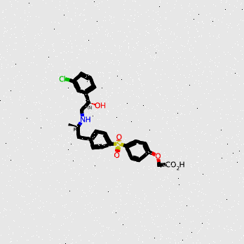 C[C@H](Cc1ccc(S(=O)(=O)c2ccc(OCC(=O)O)cc2)cc1)NC[C@@H](O)c1cccc(Cl)c1